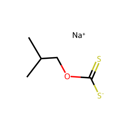 CC(C)COC(=S)[S-].[Na+]